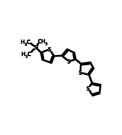 C[Si](C)(C)c1ccc(-c2ccc(-c3ccc(-c4cccs4)s3)s2)s1